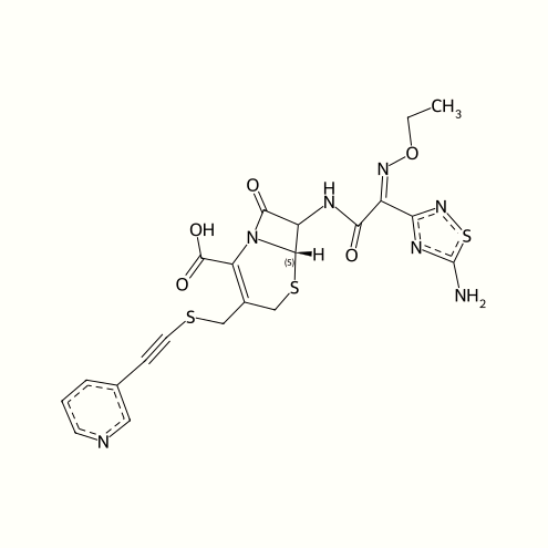 CCON=C(C(=O)NC1C(=O)N2C(C(=O)O)=C(CSC#Cc3cccnc3)CS[C@@H]12)c1nsc(N)n1